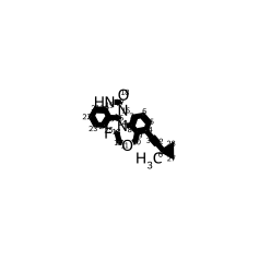 CC1(C#Cc2cccc3c2COCCN3c2nc(=O)[nH]c3cccc(F)c23)CC1